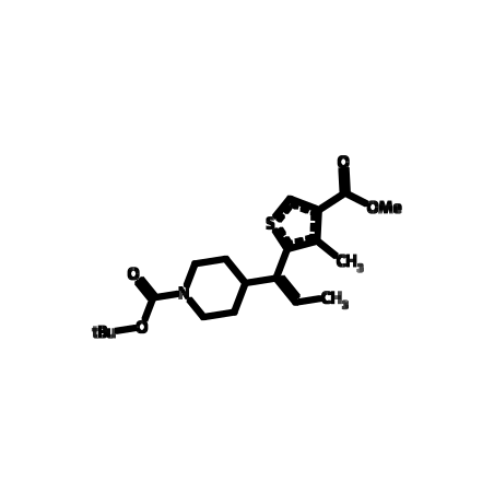 CC=C(c1scc(C(=O)OC)c1C)C1CCN(C(=O)OC(C)(C)C)CC1